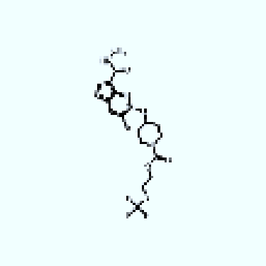 CNC(=O)c1csc2cc(Br)c(OC3CCN(C(=O)OCCOC(F)(F)F)CC3)nc12